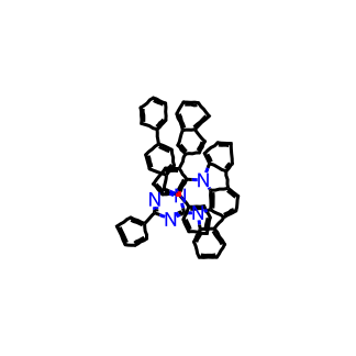 c1ccc(-c2ccc(-c3nc(-c4ccccc4)nc(-n4c5ccccc5c5ccc6c7ccccc7n(-c7c(-c8ccccc8)cccc7-c7ccc8ccccc8c7)c6c54)n3)cc2)cc1